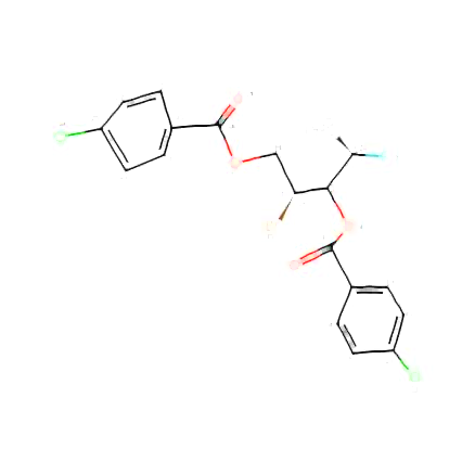 O=C[C@@H](F)C(OC(=O)c1ccc(Cl)cc1)[C@@H](Br)COC(=O)c1ccc(Cl)cc1